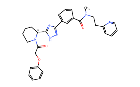 CN(CCc1ccccn1)C(=O)c1cccc(-c2n[nH]c([C@H]3CCCCN3C(=O)COc3ccccc3)n2)c1